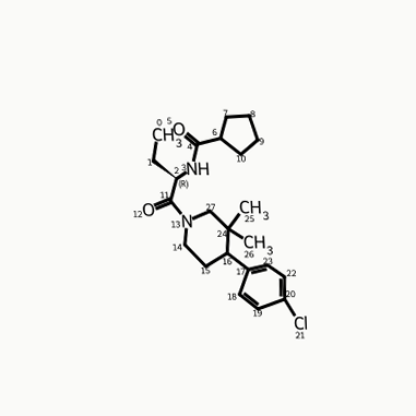 CC[C@@H](NC(=O)C1CCCC1)C(=O)N1CCC(c2ccc(Cl)cc2)C(C)(C)C1